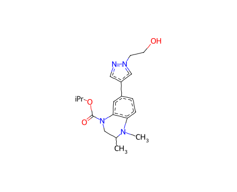 CC(C)OC(=O)N1CC(C)N(C)c2ccc(-c3cnn(CCO)c3)cc21